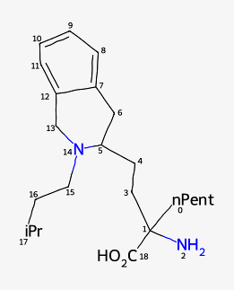 CCCCCC(N)(CCC1Cc2ccccc2CN1CCC(C)C)C(=O)O